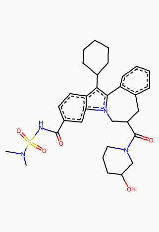 CN(C)S(=O)(=O)NC(=O)c1ccc2c(C3CCCCC3)c3n(c2c1)CC(C(=O)N1CCCC(O)C1)Cc1ccccc1-3